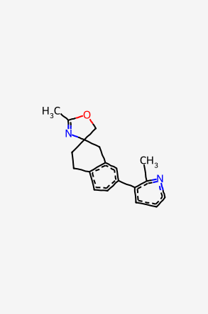 CC1=NC2(CCc3ccc(-c4cccnc4C)cc3C2)CO1